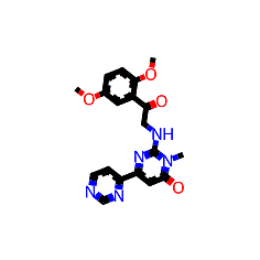 COc1ccc(OC)c(C(=O)CNc2nc(-c3ccncn3)cc(=O)n2C)c1